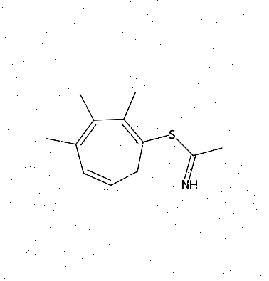 CC(=N)SC1=C(C)C(C)=C(C)C=CC1